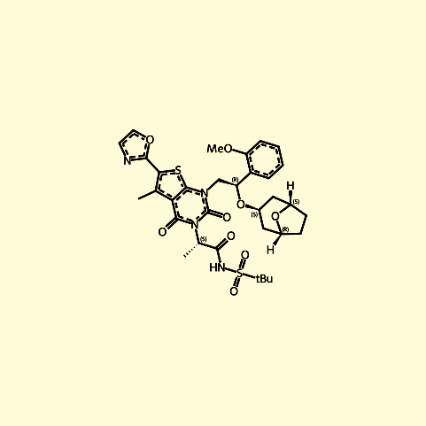 COc1ccccc1[C@H](Cn1c(=O)n([C@@H](C)C(=O)NS(=O)(=O)C(C)(C)C)c(=O)c2c(C)c(-c3ncco3)sc21)O[C@@H]1C[C@H]2CC[C@@H](C1)O2